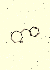 c1ccc(CC2CNCCOC2)cc1